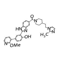 COc1ncccc1-c1ccc(O)c(-c2nc3cc(C(=O)N4CCC(CCn5ccnc5C)CC4)ccc3[nH]2)c1